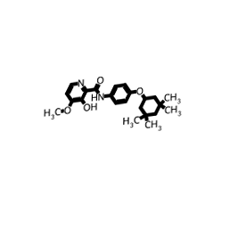 COc1ccnc(C(=O)Nc2ccc(OC3CC(C)(C)CC(C)(C)C3)cc2)c1O